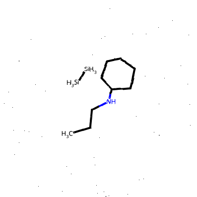 CCCNC1CCCCC1.[SiH3][SiH3]